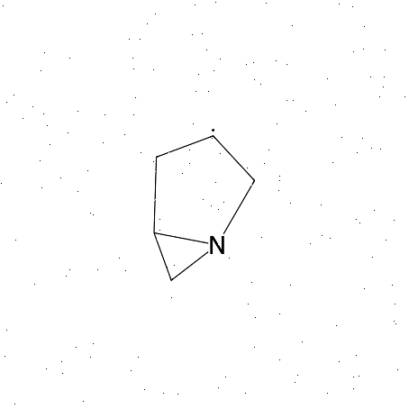 [CH]1CC2CN2C1